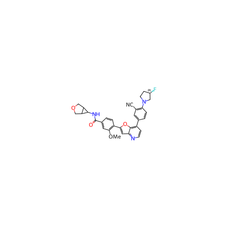 COc1cc(C(=O)NC2C3COCC32)ccc1-c1cc2nccc(-c3ccc(N4CC[C@@H](F)C4)c(C#N)c3)c2o1